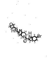 O=C(c1cc2ccc(Br)cc2[nH]1)N1CCc2nc(NCC3CCOC3)sc2C1